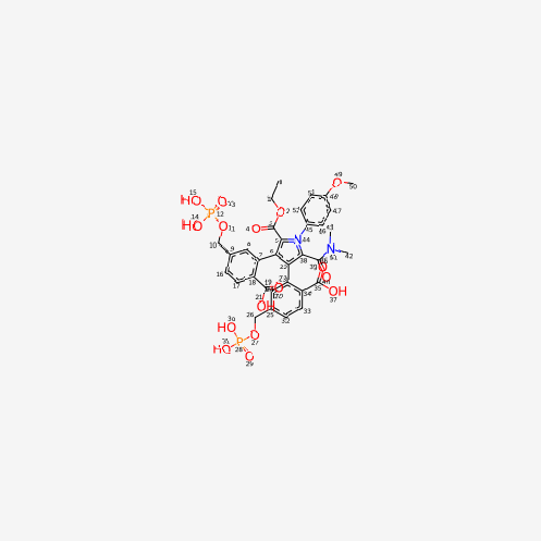 CCOC(=O)c1c(-c2cc(COP(=O)(O)O)ccc2C(=O)O)c(-c2cc(COP(=O)(O)O)ccc2C(=O)O)c(C(=O)N(C)C)n1-c1ccc(OC)cc1